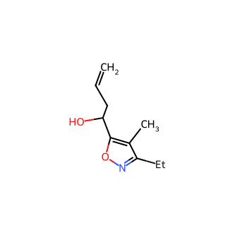 C=CCC(O)c1onc(CC)c1C